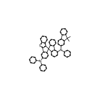 CC1(C)c2ccccc2-c2ccc(N(c3ccccc3)c3cccc4c3-c3ccccc3C43c4ccc(N(c5ccccc5)c5ccccc5)cc4-c4sc5ccccc5c43)cc21